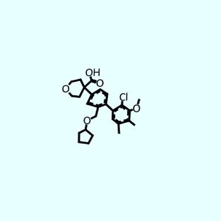 COc1c(C)c(C)cc(-c2ccc(C3(C(=O)O)CCOCC3)cc2COC2CCCC2)c1Cl